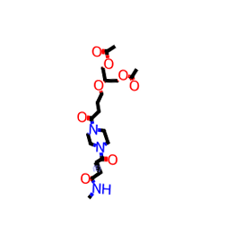 CNC(=O)/C=C/C(=O)N1CCN(C(=O)CCCOC(COC(C)=O)COC(C)=O)CC1